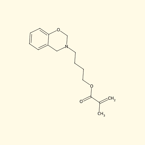 C=C(C)C(=O)OCCCCN1COc2ccccc2C1